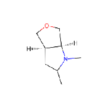 CC1C[C@H]2COC[C@H]2N1C